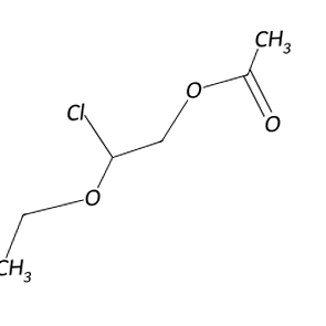 CCOC(Cl)COC(C)=O